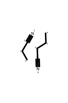 CCC#N.CCCC#N